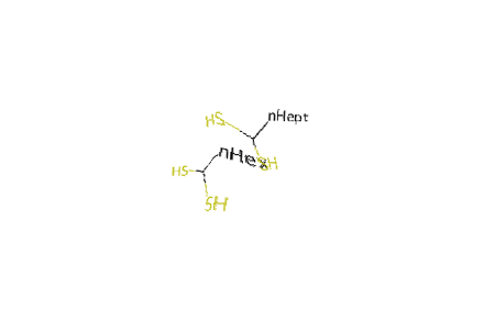 CCCCCCC(S)S.CCCCCCCC(S)S